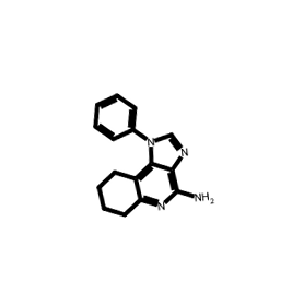 Nc1nc2c(c3c1ncn3-c1ccccc1)CCCC2